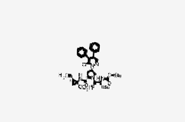 C=C[C@@H]1C[C@]1(NC(=O)[C@@H]1C[C@@H](n2ncc(-c3ccccc3)c(-c3ccccc3)c2=O)CN1C(=O)[C@@H](NC(=O)OC(C)(C)C)C(C)(C)C)C(=O)O